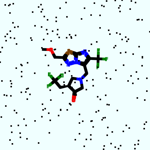 COCc1nn2c(CN3CC(=O)[C@@H](CC(F)(F)Cl)C3)c(C(F)(F)F)nc2s1